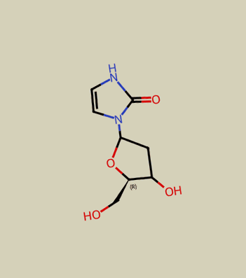 O=c1[nH]ccn1C1CC(O)[C@@H](CO)O1